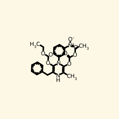 CCOC(=O)OC1=C(C)NC(Cc2ccccc2)=C(OC(=O)OCC)N1c1cccc([N+](=O)[O-])c1